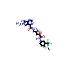 Cc1ccc(NC(=O)c2cc(CNC(=O)c3ncnc4c3CN(C)N4)no2)cc1C(F)(F)F